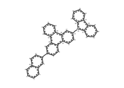 c1ccc2cc(-c3ccc4c5ccc(-n6c7ccccc7c7ccccc76)cc5c5ccccc5c4c3)ccc2c1